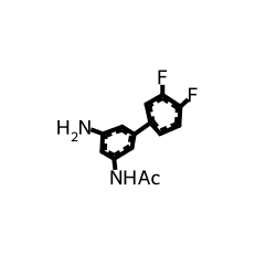 CC(=O)Nc1cc(N)cc(-c2ccc(F)c(F)c2)c1